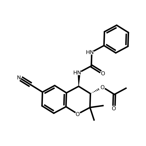 CC(=O)O[C@H]1[C@H](NC(=O)Nc2ccccc2)c2cc(C#N)ccc2OC1(C)C